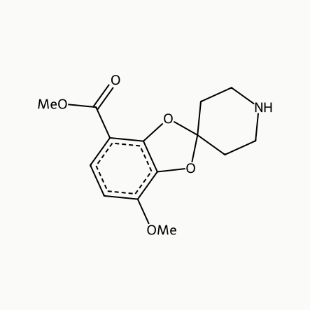 COC(=O)c1ccc(OC)c2c1OC1(CCNCC1)O2